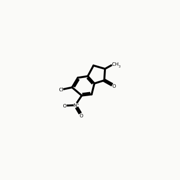 CC1Cc2cc(Cl)c([N+](=O)[O-])cc2C1=O